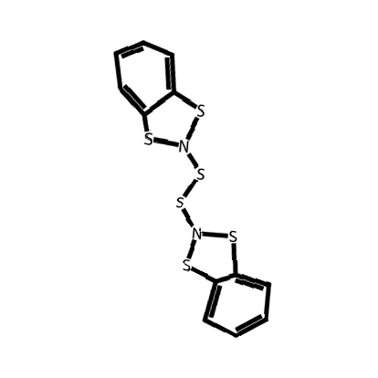 c1ccc2c(c1)SN(SSN1Sc3ccccc3S1)S2